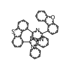 c1ccc(-c2nc(-c3cccc4oc5ccccc5c34)nc(-c3cccc4sc5cccc(-c6nc7ccccc7s6)c5c34)n2)cc1